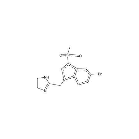 CS(=O)(=O)c1cn(CC2=NCCN2)c2ccc(Br)cc12